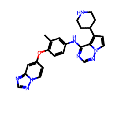 Cc1cc(Nc2ncnn3ccc(C4CCNCC4)c23)ccc1Oc1ccn2ncnc2c1